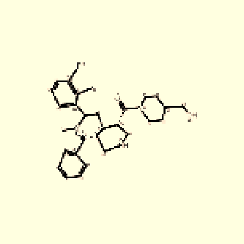 COC(C[C@@H]1[C@@H](C(=O)c2ccccc2)CNC[C@H]1C(=O)N1CCC(CO)CC1)c1cccc(F)c1C